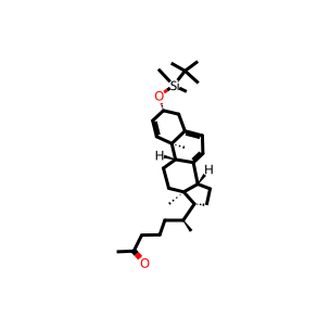 CC(=O)CCC[C@H](C)[C@H]1CC[C@H]2C3=CC=C4C[C@@H](O[Si](C)(C)C(C)(C)C)C=C[C@]4(C)[C@H]3CC[C@]12C